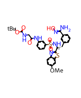 COc1ccc2nc([C@@H](Cc3cccc(C(N)=NO)c3)NS(=O)(=O)c3cccc(NC(=O)CNC(=O)OC(C)(C)C)c3)sc2c1